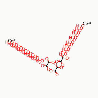 O.O.O.O.O.O.O.O.O.O.O.O.O.O.O.O.O.O.O.O.O.O.O.O.O.O.O.O=C([O-])C(=O)[O-].O=C([O-])C(=O)[O-].O=C([O-])C(=O)[O-].[Ce+3].[Ce+3]